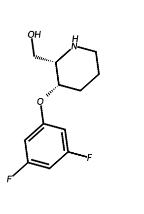 OC[C@@H]1NCCC[C@@H]1Oc1cc(F)cc(F)c1